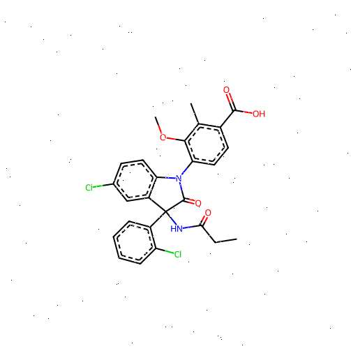 CCC(=O)NC1(c2ccccc2Cl)C(=O)N(c2ccc(C(=O)O)c(C)c2OC)c2ccc(Cl)cc21